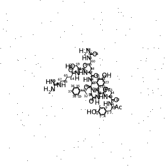 CC(=O)[C@H](Cc1ccc(O)cc1)NC(=O)[C@H](CC(C)C)NC(=O)[C@H](Cc1ccc(O)cc1)NC(=O)[C@H](CCc1ccccc1)NC(=O)CNC(=O)[C@H](CCCNC(N)=O)NC(=O)[C@H](CO)NC(=O)CCCCNC(=N)N